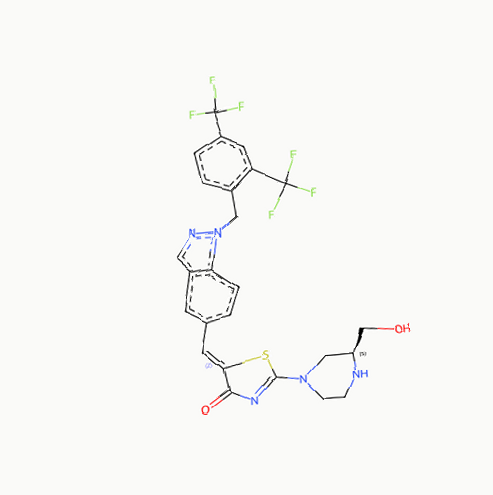 O=C1N=C(N2CCN[C@H](CO)C2)S/C1=C\c1ccc2c(cnn2Cc2ccc(C(F)(F)F)cc2C(F)(F)F)c1